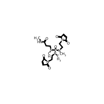 CNC(=O)CCN(C)P(=O)(N(C)CCN1C(=O)C=CC1=O)N(C)CCN1C(=O)C=CC1=O